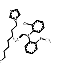 C=CB(c1ccccc1Cl)c1ccccc1SC.CCCCCCCCn1ccnc1